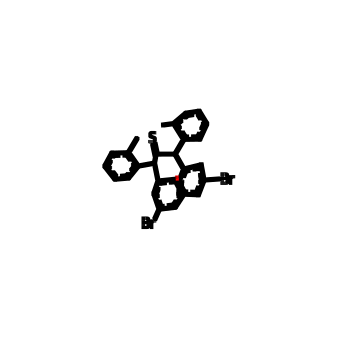 Cc1ccccc1C(C(=S)C(c1cccc(Br)c1)c1ccccc1C)c1cccc(Br)c1